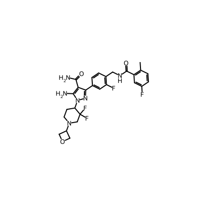 Cc1ccc(F)cc1C(=O)NCc1ccc(-c2nn(C3CCN(C4COC4)CC3(F)F)c(N)c2C(N)=O)cc1F